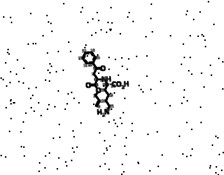 C=CCOC(=O)C(CC(=O)c1ccccc1)N[C@@H](CCCCN)C(=O)O